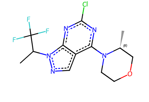 CC(n1ncc2c(N3CCOC[C@H]3C)nc(Cl)nc21)C(F)(F)F